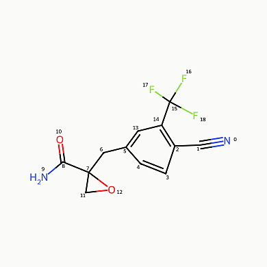 N#Cc1ccc(CC2(C(N)=O)CO2)cc1C(F)(F)F